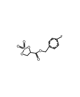 O=C(OCc1ccc(F)cc1)C1COS(=O)(=O)O1